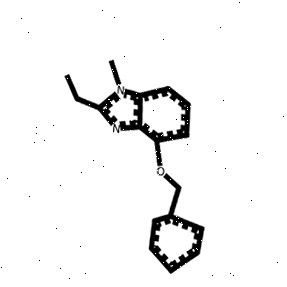 CCc1nc2c(OCc3ccccc3)cccc2n1C